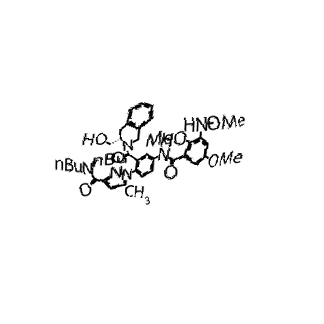 CCCCN(CCCC)C(=O)c1cc(C)n(-c2ccc(NC(=O)c3cc(OC)cc(NOC)c3OC)cc2C(=O)N2Cc3ccccc3C[C@H]2CO)n1